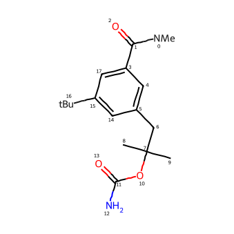 CNC(=O)c1cc(CC(C)(C)OC(N)=O)cc(C(C)(C)C)c1